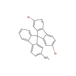 O=[N+]([O-])c1ccc2c(c1)C1(c3ccccc3-2)c2cc(Br)ccc2-c2ccc(Br)cc21